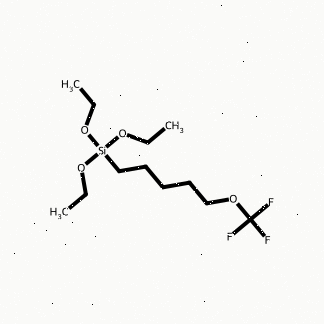 CCO[Si](CCCCCOC(F)(F)F)(OCC)OCC